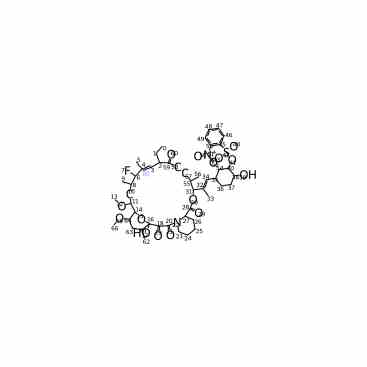 CCC1/C=C(\C)C(F)C(C)CC(OC)C2OC(O)(C(=O)C(=O)N3CCCCC3C(=O)OC(C(C)=CC3CCC(O)C(OS(=O)(=O)c4ccccc4[N+](=O)[O-])C3)C(C)CCC1=O)C(C)CC2OC